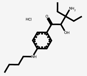 CCCCNc1ccc(C(=O)C(O)C(N)(CC)CC)cc1.Cl